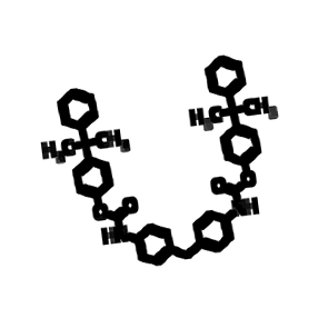 CC(C)(c1ccccc1)c1ccc(OC(=O)Nc2ccc(Cc3ccc(NC(=O)Oc4ccc(C(C)(C)c5ccccc5)cc4)cc3)cc2)cc1